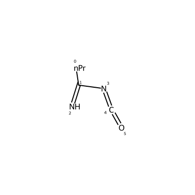 CCCC(=N)N=C=O